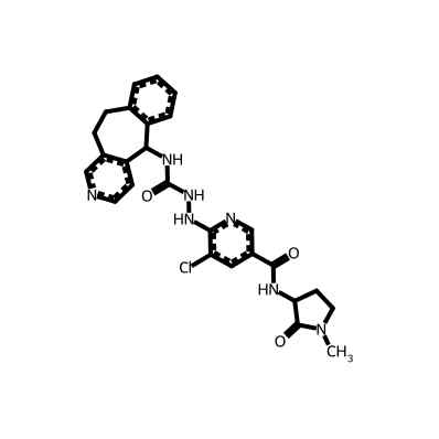 CN1CCC(NC(=O)c2cnc(NNC(=O)NC3c4ccccc4CCc4cnccc43)c(Cl)c2)C1=O